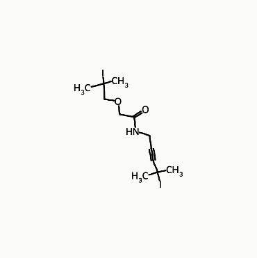 CC(C)(I)C#CCNC(=O)COCC(C)(C)I